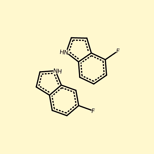 Fc1ccc2cc[nH]c2c1.Fc1cccc2[nH]ccc12